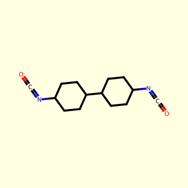 O=C=NC1CCC(C2CCC(N=C=O)CC2)CC1